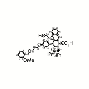 COc1ccccc1COCCCOc1ccc([C@H]2[C@H](O[Si](C(C)C)(C(C)C)C(C)C)CN(C(=O)O)C(Cc3ccccc3)[C@@H]2OCCO)cc1